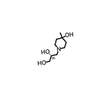 CC1(O)CCN(C[C@@H](O)CO)CC1